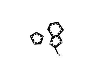 Sc1nc2ccccc2s1.c1cscn1